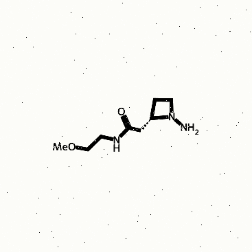 COCCNC(=O)C[C@@H]1CCN1N